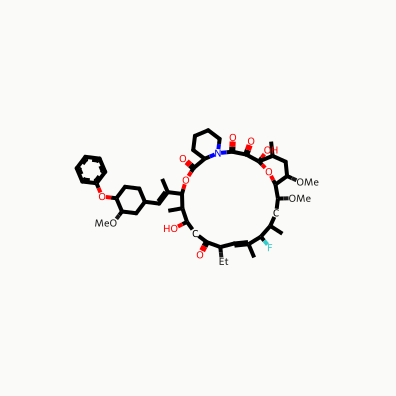 CCC1/C=C(\C)C(F)C(C)CC(OC)C2OC(O)(C(=O)C(=O)N3CCCCC3C(=O)OC(C(C)=CC3CCC(Oc4ccccc4)C(OC)C3)C(C)C(O)CC1=O)C(C)CC2OC